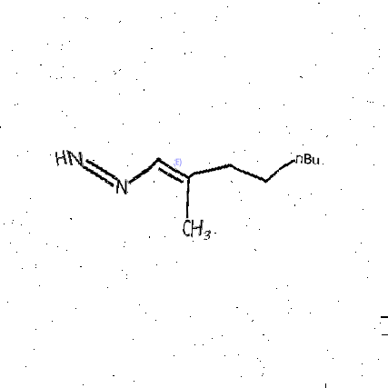 CCCCCC/C(C)=C/N=N